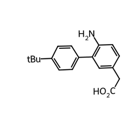 CC(C)(C)c1ccc(-c2cc(CC(=O)O)ccc2N)cc1